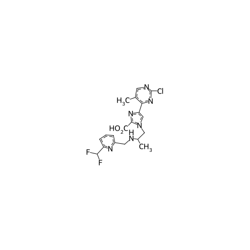 Cc1cnc(Cl)nc1-c1cn(CC(C)NCc2cccc(C(F)F)n2)c(C(=O)O)n1